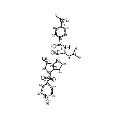 CC(C)CC(NC(=O)c1ccc(N(C)C)cc1)C(=O)N1CCC2C1C(=O)CN2S(=O)(=O)c1cc[n+]([O-])cc1